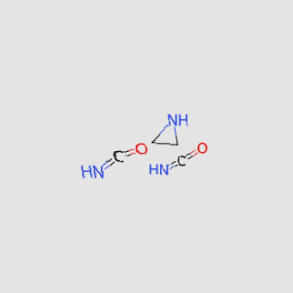 C1CN1.N=C=O.N=C=O